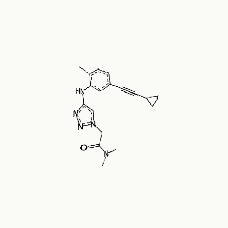 Cc1ccc(C#CC2CC2)cc1Nc1cn(CC(=O)N(C)C)nn1